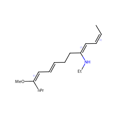 C/C=C\C=C(\CCC=C/C=C(\CCC)OC)NCC